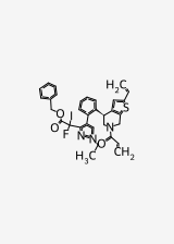 C=CC(=O)N1Cc2sc(C=C)cc2[C@H](c2ccccc2-c2cn(CC)nc2C(F)(I)C(=O)OCc2ccccc2)C1